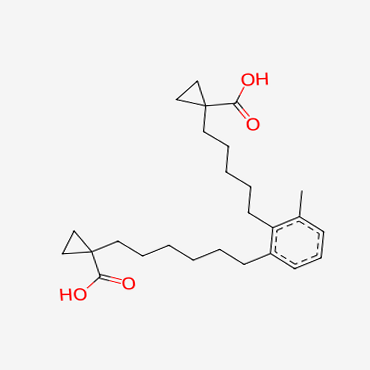 Cc1cccc(CCCCCCC2(C(=O)O)CC2)c1CCCCCC1(C(=O)O)CC1